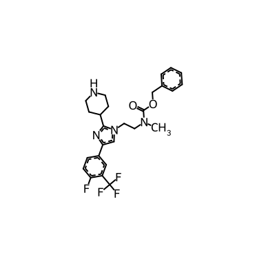 CN(CCn1cc(-c2ccc(F)c(C(F)(F)F)c2)nc1C1CCNCC1)C(=O)OCc1ccccc1